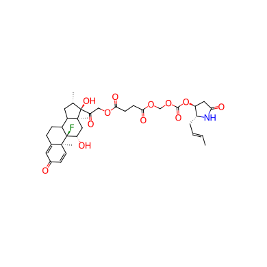 C/C=C/C[C@H]1NC(=O)C[C@@H]1OC(=O)OCOC(=O)CCC(=O)OCC(=O)[C@@]1(O)[C@@H](C)CC2C3CCC4=CC(=O)C=C[C@]4(C)[C@@]3(F)[C@@H](O)C[C@@]21C